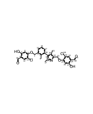 Cc1c(COc2cc(O)c(C=O)cc2Cl)cccc1-c1c(C)c(COc2cc(O)c(C=O)cc2Cl)nn1C